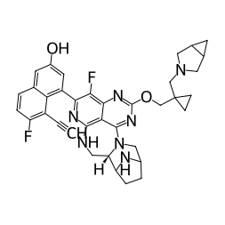 C#Cc1c(F)ccc2cc(O)cc(-c3nc4c5c(nc(OCC6(CN7CC8CC8C7)CC6)nc5c3F)N3CC5CCC(N5)[C@@H]3CN4)c12